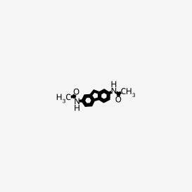 CC(=O)Nc1ccc2c(c1)Cc1cc(NC(C)=O)ccc1-2